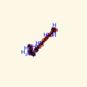 Nc1nccn2c([C@@H]3CCCCN3C(=O)/C=C/CN3CCN(CCNC(=O)CCCC(=O)NCCCOCCOCCOCCCNC(=O)CCCC[C@@H]4SC[C@@H]5NC(=O)N[C@@H]54)CC3)nc(-c3ccc(C(=O)Nc4ccccn4)cc3)c12